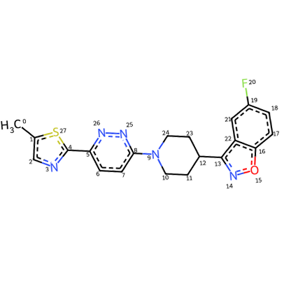 Cc1cnc(-c2ccc(N3CCC(c4noc5ccc(F)cc45)CC3)nn2)s1